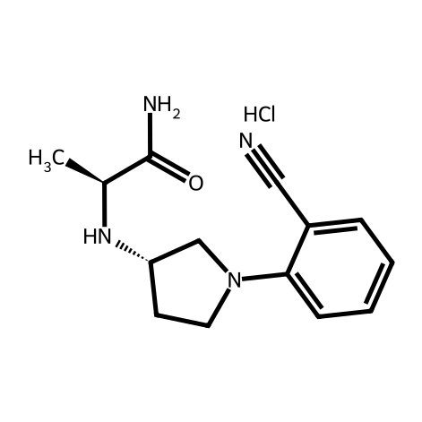 C[C@H](N[C@H]1CCN(c2ccccc2C#N)C1)C(N)=O.Cl